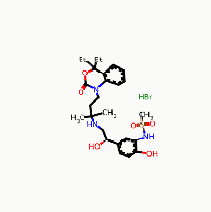 Br.CCC1(CC)OC(=O)N(CCC(C)(C)NC[C@H](O)c2ccc(O)c(NS(C)(=O)=O)c2)c2ccccc21